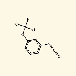 O=C=Nc1cccc(OC(F)(Cl)Cl)c1